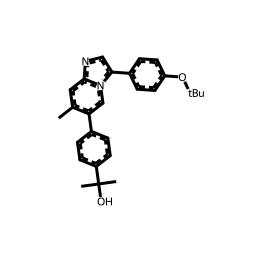 Cc1cc2ncc(-c3ccc(OC(C)(C)C)cc3)n2cc1-c1ccc(C(C)(C)O)cc1